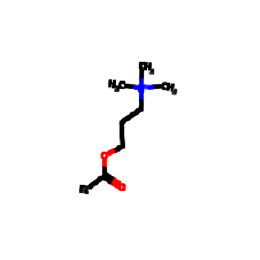 CCC(=O)OCCC[N+](C)(C)C